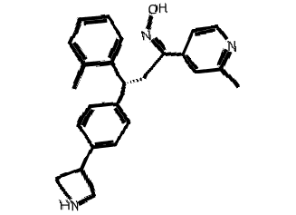 Cc1cc(/C(C[C@H](c2ccc(C3CNC3)cc2)c2ccccc2C)=N\O)ccn1